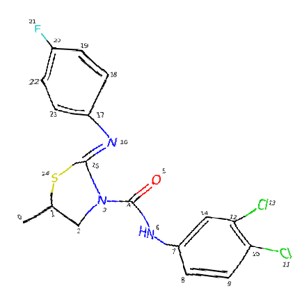 CC1CN(C(=O)Nc2ccc(Cl)c(Cl)c2)/C(=N/c2ccc(F)cc2)S1